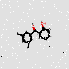 Cc1cc(C)cc(C(=O)c2cc[c]cc2O)c1